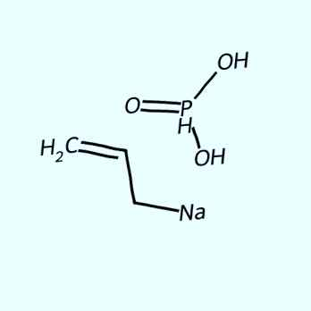 C=C[CH2][Na].O=[PH](O)O